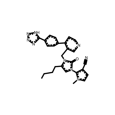 CCCCc1cn(-c2c(C#N)ccn2C)c(=O)n1Cc1cnccc1-c1ccc(-c2nnn[nH]2)cc1